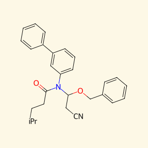 CC(C)CCC(=O)N(c1cccc(-c2ccccc2)c1)C(CC#N)OCc1ccccc1